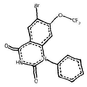 O=c1[nH]c(=O)n(-c2ccccc2)c2cc(OC(F)(F)F)c(Br)cc12